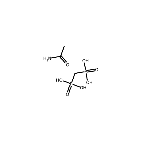 CC(N)=O.O=P(O)(O)CP(=O)(O)O